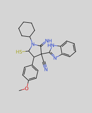 COc1ccc(C2C(S)N(C3CCCCC3)C(=N)C2(C#N)c2nc3ccccc3[nH]2)cc1